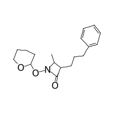 CC1C(CCCc2ccccc2)C(=O)N1OC1CCCCO1